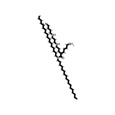 CCCCCCCCCCCCCCCCCCN(CCCCCCCCCCCCCCCCCC)C(=O)C(CCCCN)CCCNCCCNCCCCN